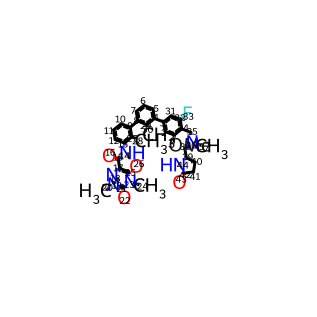 COc1cc(-c2cccc(-c3cccc(NC(=O)c4nn(C)c(=O)n(C)c4=O)c3C)c2C)cc(F)c1CN(C)CC1CCC(=O)N1